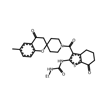 CCNC(=O)Nc1sc2c(c1C(=O)N1CCC3(CC1)CC(=O)c1cc(C)ccc1O3)CCCC2=O